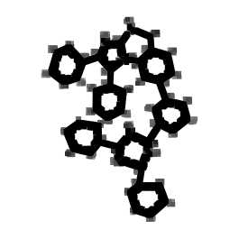 c1ccc(-c2nc(-c3ccccc3)nc(-c3cccc(-c4ccc5c(c4)-n4c(nc(-c6ccccc6)c4-c4ccccc4)SC5)c3)n2)cc1